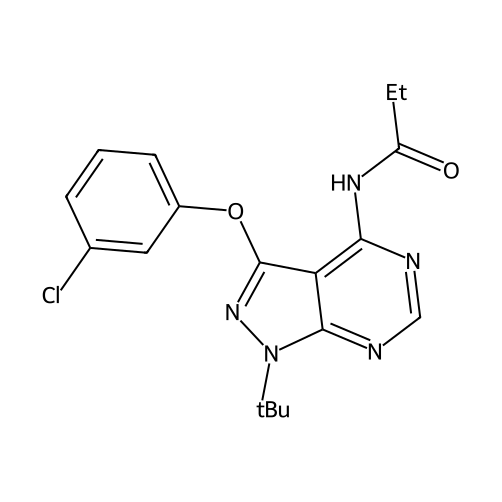 CCC(=O)Nc1ncnc2c1c(Oc1cccc(Cl)c1)nn2C(C)(C)C